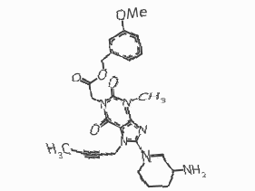 CC#CCn1c(N2CCCC(N)C2)nc2c1c(=O)n(CC(=O)OCc1cccc(OC)c1)c(=O)n2C